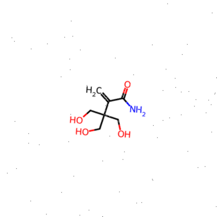 C=C(C(N)=O)C(CO)(CO)CO